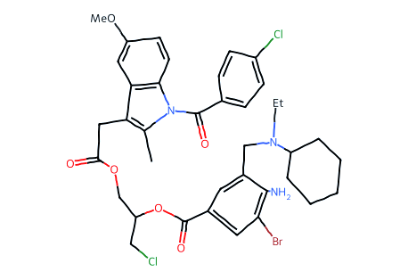 CCN(Cc1cc(C(=O)OC(CCl)COC(=O)Cc2c(C)n(C(=O)c3ccc(Cl)cc3)c3ccc(OC)cc23)cc(Br)c1N)C1CCCCC1